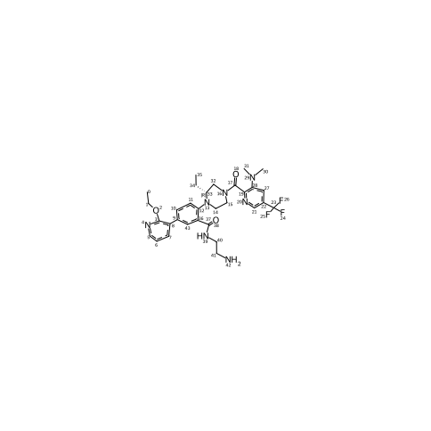 CCOc1ncccc1-c1ccc(N2CCN(C(=O)c3ncc(C(F)(F)F)cc3N(C)C)C[C@H]2CC)c(C(=O)NCCN)c1